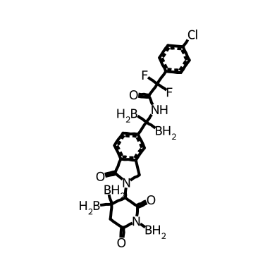 BN1C(=O)CC(B)(B)C(N2Cc3cc(C(B)(B)NC(=O)C(F)(F)c4ccc(Cl)cc4)ccc3C2=O)C1=O